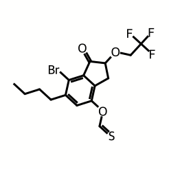 CCCCc1cc(OC=S)c2c(c1Br)C(=O)C(OCC(F)(F)F)C2